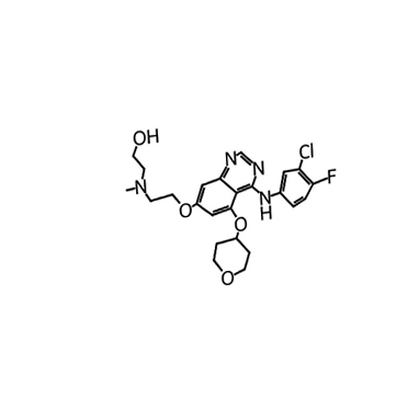 CN(CCO)CCOc1cc(OC2CCOCC2)c2c(Nc3ccc(F)c(Cl)c3)ncnc2c1